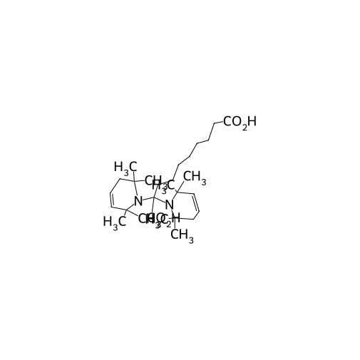 CC1(C)C=CCC(C)(C)N1C(CCCCCCCC(=O)O)(C(=O)O)N1C(C)(C)C=CCC1(C)C